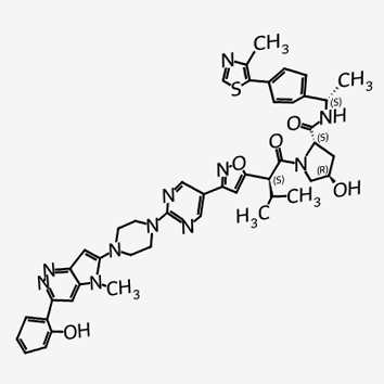 Cc1ncsc1-c1ccc([C@H](C)NC(=O)[C@@H]2C[C@@H](O)CN2C(=O)[C@H](c2cc(-c3cnc(N4CCN(c5cc6nnc(-c7ccccc7O)cc6n5C)CC4)nc3)no2)C(C)C)cc1